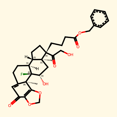 C[C@@]12C(=CC(=O)C3=C1OCO3)CC[C@H]1[C@@H]3CC[C@](CCCC(=O)OCc4ccccc4)(C(=O)CO)[C@@]3(C)C[C@H](O)[C@@]12F